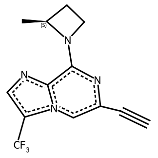 C#Cc1cn2c(C(F)(F)F)cnc2c(N2CC[C@@H]2C)n1